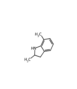 Cc1cccc2c1NC(C)C2